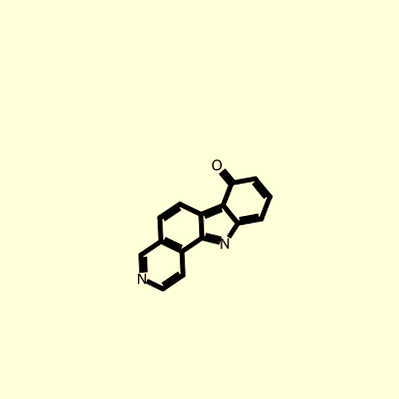 O=C1C=CC=C2N=c3c(ccc4cnccc34)=C12